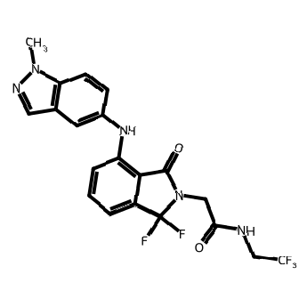 Cn1ncc2cc(Nc3cccc4c3C(=O)N(CC(=O)NCC(F)(F)F)C4(F)F)ccc21